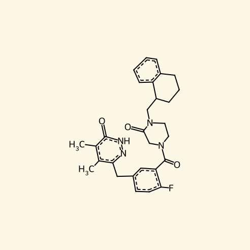 Cc1c(Cc2ccc(F)c(C(=O)N3CCN(CC4CCCc5ccccc54)C(=O)C3)c2)n[nH]c(=O)c1C